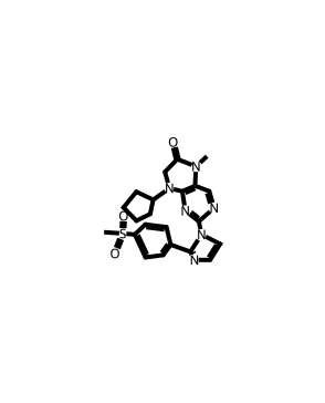 CN1C(=O)CN(C2CCCC2)c2nc(-n3ccnc3-c3ccc(S(C)(=O)=O)cc3)ncc21